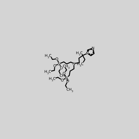 CCO[Si](CCCN(CCC[Si](OCC)(OCC)OCC)CCC(C)(CC)n1ccnc1)(OCC)OCC